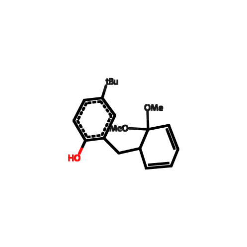 COC1(OC)C=CC=CC1Cc1cc(C(C)(C)C)ccc1O